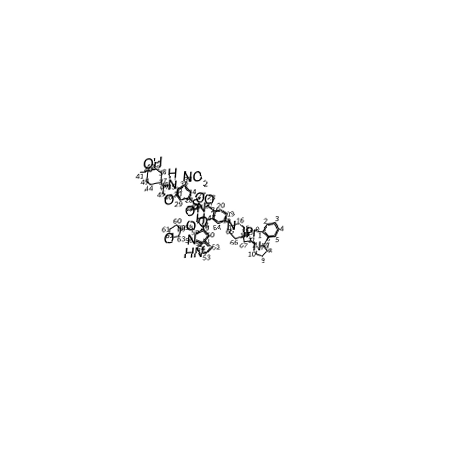 CC(C)c1ccccc1[C@H]1CCCN1C1CC2(CCN(c3ccc(C(=O)NS(=O)(=O)c4cc5c(c([N+](=O)[O-])c4)N[C@@H](C4CCC(C)(O)CC4)CO5)c(Oc4cc5cc[nH]c5nc4O[C@H]4CCOC4)c3)CC2)C1